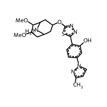 COC1CC2CC(Oc3nnc(-c4ccc(-n5ccc(C)n5)cc4O)s3)CC(C1OC)N2C